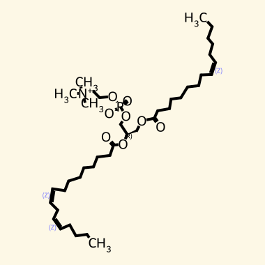 CCCC/C=C\C/C=C\CCCCCCCC(=O)O[C@H](COC(=O)CCCCCCC/C=C\CCCCC)COP(=O)([O-])OCC[N+](C)(C)C